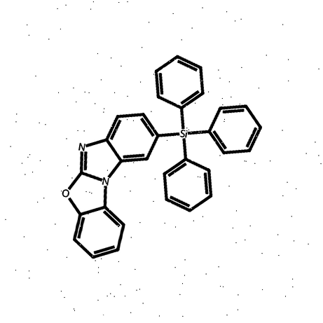 c1ccc([Si](c2ccccc2)(c2ccccc2)c2ccc3nc4oc5ccccc5n4c3c2)cc1